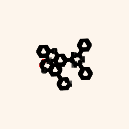 c1ccc(-c2nc(-c3ccccc3)nc(-c3ccc4c(c3)Oc3ccccc3[Si]43c4ccccc4Oc4cc(-c5cccnc5)ccc43)n2)cc1